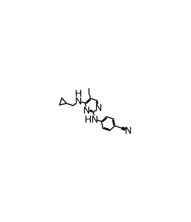 N#Cc1ccc(Nc2ncc(I)c(NCC3CC3)n2)cc1